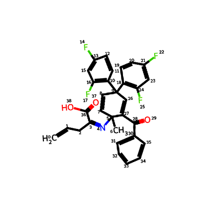 C=CCC(=NC1(C)C=CC(c2ccc(F)cc2F)(c2ccc(F)cc2F)C=C1C(=O)c1ccccc1)C(=O)O